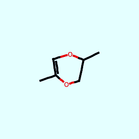 CC1=COC(C)CO1